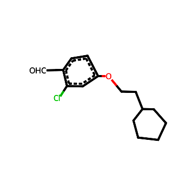 O=Cc1ccc(OCCC2CCCCC2)cc1Cl